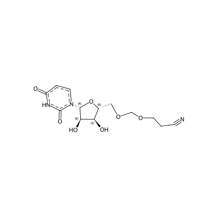 N#CCCOCOC[C@H]1O[C@@H](n2ccc(=O)[nH]c2=O)[C@H](O)[C@@H]1O